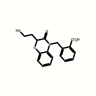 CCOC(=O)c1ccccc1CN1C(=O)C(CCO)Oc2ccccc21